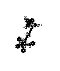 COc1ccc(C(OC[C@@H]2C[C@@H](O)CN2C(=O)CCCCCNC(=O)CCCCO[C@H]2OC(COC(=O)c3ccccc3)[C@@H](OC(=O)c3ccccc3)[C@H](OC(=O)c3ccccc3)C2OC(=O)c2ccccc2)(c2ccccc2)c2ccc(OC)cc2)cc1